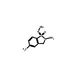 CC(C)(C)N=S1(=O)c2ccc(C(F)(F)F)cc2CN1N